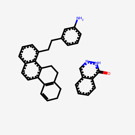 Nc1cccc(CCc2cccc3ccc4c(c23)CCC2=C4C=CCC2)c1.O=c1[nH]ncc2ccccc12